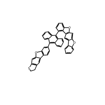 c1ccc2c(c1)oc1cc3oc4cccc(-c5c6ccccc6c(-c6ccc7c(c6)oc6cc8c(cc67)CCS8)c6ccccc56)c4c3cc12